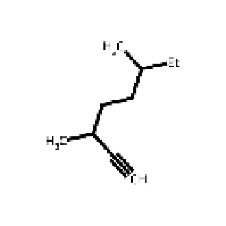 C#CC(C)CCC(C)CC